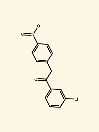 O=C(Cc1ccc([N+](=O)[O-])cc1)c1cccc(Cl)c1